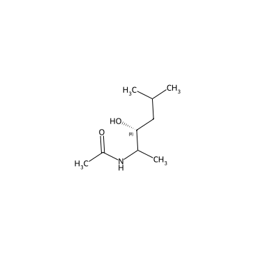 CC(=O)NC(C)[C@H](O)CC(C)C